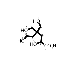 O=C(O)C(O)CC(CO)(CO)CCO